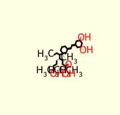 CCCC([C@@H](CCCC(C)(C)O)CCC(=O)C(C)(C)O)[C@@]1(C)CCC/C(=C\C=C2C[C@@H](O)C[C@H](O)C2)C1